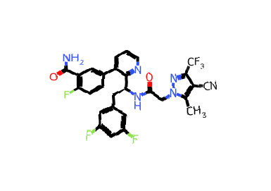 Cc1c(C#N)c(C(F)(F)F)nn1CC(=O)N[C@@H](Cc1cc(F)cc(F)c1)c1ncccc1-c1ccc(F)c(C(N)=O)c1